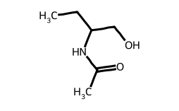 CCC(CO)NC(C)=O